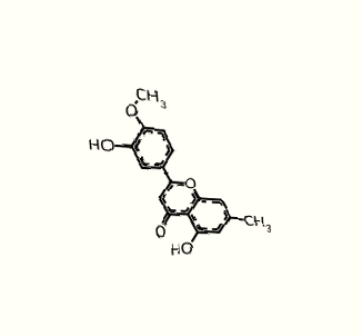 COc1ccc(-c2cc(=O)c3c(O)cc(C)cc3o2)cc1O